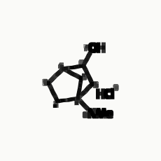 CNC12CCC(C1)C(O)C2.Cl